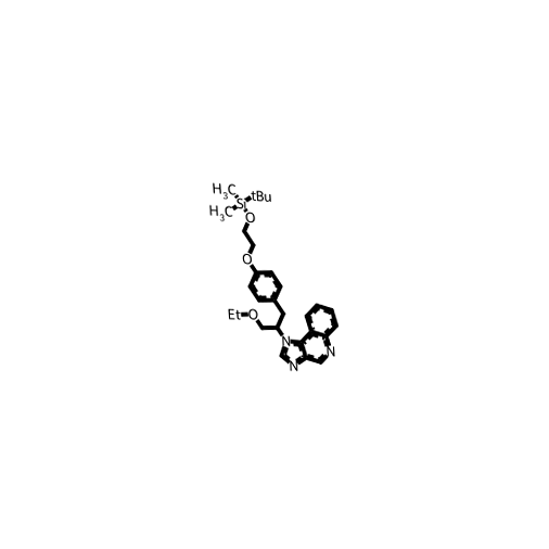 CCOCC(Cc1ccc(OCCO[Si](C)(C)C(C)(C)C)cc1)n1cnc2cnc3ccccc3c21